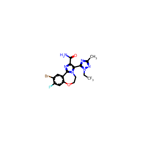 Cc1nc(-c2c(C(N)=O)nc3n2CCOc2cc(F)c(Br)cc2-3)n(CC(F)(F)F)n1